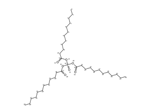 CCCCCCCCCCCC(=O)OP(=O)(OC(=O)CCCCCCCCCCC)OC(=O)CCCCCCCCCCC